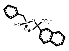 CCCC(OP(=O)(O)Cc1ccccc1)(C(=O)O)c1ccc2ccccc2c1